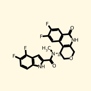 CN(C(=O)c1cc2c(F)c(F)ccc2[nH]1)[C@H]1COCc2[nH]c(=O)c3cc(F)c(F)cc3c21